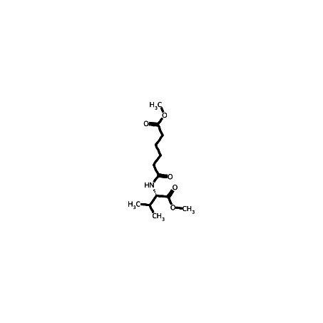 COC(=O)CCCCC(=O)N[C@H](C(=O)OC)C(C)C